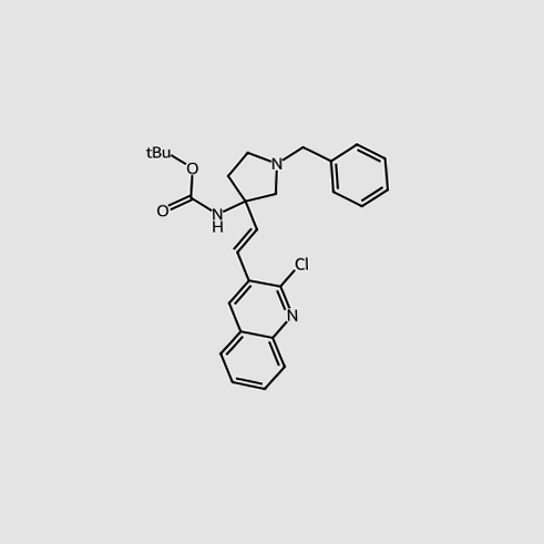 CC(C)(C)OC(=O)NC1(C=Cc2cc3ccccc3nc2Cl)CCN(Cc2ccccc2)C1